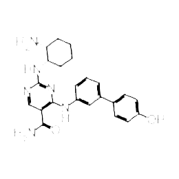 NC(=O)c1cnc(N[C@H]2CCCC[C@H]2N)nc1Nc1cccc(-c2ccc(O)cc2)c1